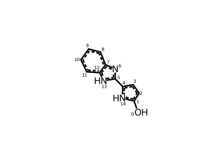 Oc1ccc(-c2nc3ccccc3[nH]2)[nH]1